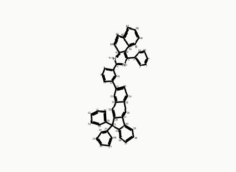 c1ccc(-c2nc(-c3cccc(-c4ccc5cc6c(cc5c4)C(c4ccccc4)(c4ccccc4)c4ccccc4-6)c3)nc3ccc4ccccc4c23)cc1